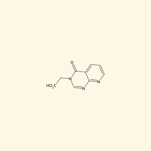 O=C(O)Cn1cnc2ncccc2c1=O